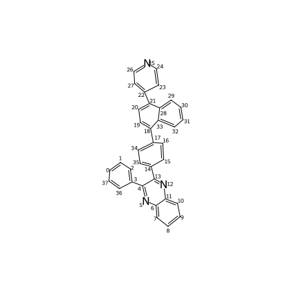 c1ccc(-c2nc3ccccc3nc2-c2ccc(-c3ccc(-c4ccncc4)c4ccccc34)cc2)cc1